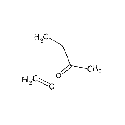 C=O.CCC(C)=O